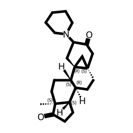 C[C@]12CC[C@H]3[C@@H](CC[C@]45CC(=O)C(N6CCCCC6)C[C@]34C5)[C@@H]1CCC2=O